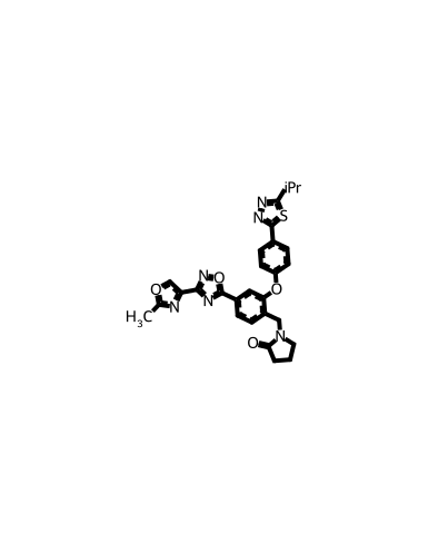 Cc1nc(-c2noc(-c3ccc(CN4CCCC4=O)c(Oc4ccc(-c5nnc(C(C)C)s5)cc4)c3)n2)co1